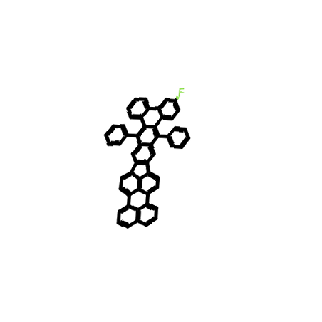 Fc1ccc2c(c1)c1ccccc1c1c(-c3ccccc3)c3cc4c(cc3c(-c3ccccc3)c21)-c1ccc2c3cccc5cccc(c6ccc-4c1c62)c53